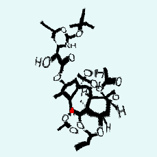 C=CC1O[C@H]2C[C@H]3OC[C@@]3(OC(C)=O)[C@H]3[C@H](O)[C@]4(C(C)(C)O)C[C@H](OC(=O)C(O)[C@H](CC(C)C)NC(=O)OC(C)(C)C)C(C)=C4[C@H](OC(C)=O)[C@H](O1)[C@]23C